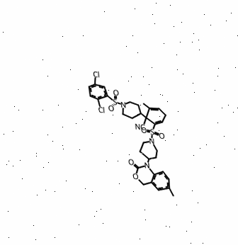 CC1=CCC=C(S(=O)(=O)N2CCC(N3C(=O)OCc4cc(C)ccc43)CC2)C1(C#N)C1CCN(S(=O)(=O)c2cc(Cl)ccc2Cl)CC1